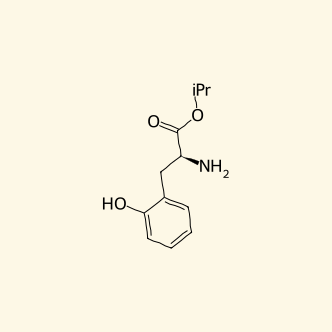 CC(C)OC(=O)[C@@H](N)Cc1ccccc1O